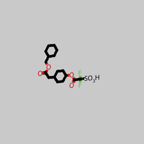 O=C(CC1CCC(OC(=O)C(F)(F)S(=O)(=O)O)CC1)OCC1CCCCC1